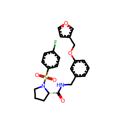 O=C(NCc1cccc(OCc2ccoc2)c1)[C@@H]1CCCN1S(=O)(=O)c1ccc(F)cc1